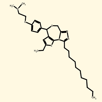 CCCCCCCCCCCc1nnc2n1-c1sc(CC)cc1C(c1ccc(OCCN(C)C)cc1)OC2